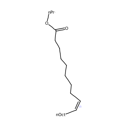 CC[CH]OC(=O)CCCCCCC/C=C\CCCCCCCC